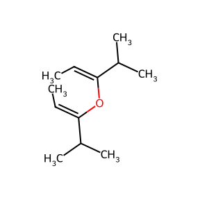 C/C=C(\O/C(=C\C)C(C)C)C(C)C